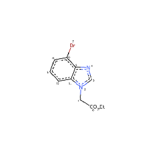 CCOC(=O)Cn1cnc2c(Br)cccc21